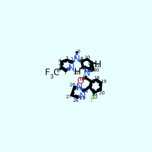 CN(c1ccc(C(F)(F)F)cn1)[C@@H]1C[C@H]2C[C@@H]1N(C(=O)c1cccc(F)c1-c1ncccn1)C2